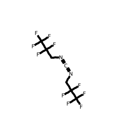 FC(F)(F)C(F)(F)CN=C=NCC(F)(F)C(F)(F)F